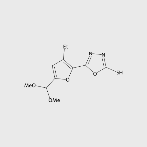 CCc1cc(C(OC)OC)oc1-c1nnc(S)o1